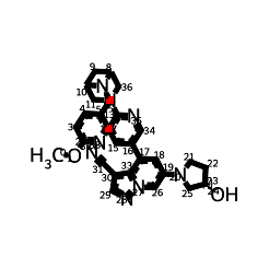 COc1ccc(CN2C3CC2CN(c2ccc(-c4cc(N5CC[C@H](O)C5)cn5ncc(C#N)c45)cn2)C3)cn1